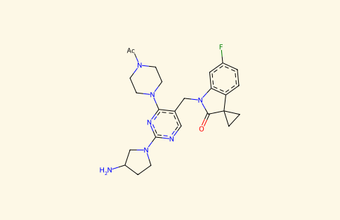 CC(=O)N1CCN(c2nc(N3CCC(N)C3)ncc2CN2C(=O)C3(CC3)c3ccc(F)cc32)CC1